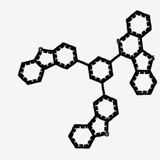 c1ccc2c(c1)nc(-c1cc(-c3ccc4oc5ccccc5c4c3)cc(-c3ccc4oc5ccccc5c4c3)c1)c1c3ccccc3sc21